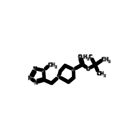 Cn1nnnc1CN1CCN(C(=O)OC(C)(C)C)CC1